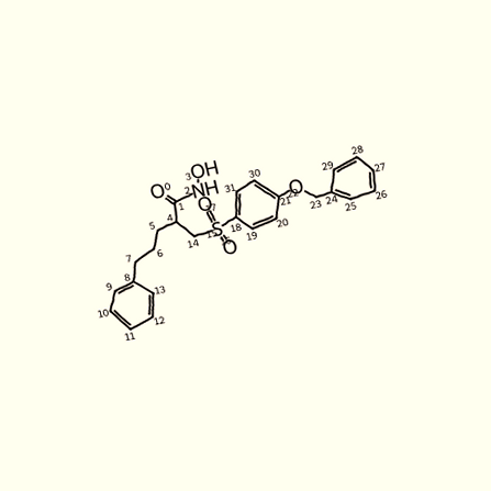 O=C(NO)C(CCCc1ccccc1)CS(=O)(=O)c1ccc(OCc2ccccc2)cc1